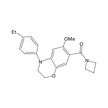 CCc1ccc(N2CCOc3cc(C(=O)N4CCC4)c(OC)cc32)cc1